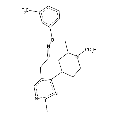 Cc1ncc(CC=NOc2cccc(C(F)(F)F)c2)c(C2CCN(C(=O)O)C(C)C2)n1